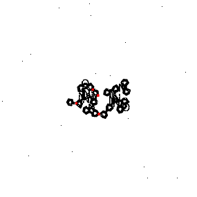 c1ccc(-c2cccc(-c3nc(-c4cccc5oc6ccccc6c45)nc(-n4c5ccccc5c5ccc(-n6c7ccccc7c7ccc(-c8cccc(-c9ccc(-c%10nc(-c%11cccc%12oc%13ccccc%13c%11%12)nc(-n%11c%12ccccc%12c%12ccc(-n%13c%14ccccc%14c%14ccccc%14%13)cc%12%11)n%10)cc9)c8)cc76)cc54)n3)c2)cc1